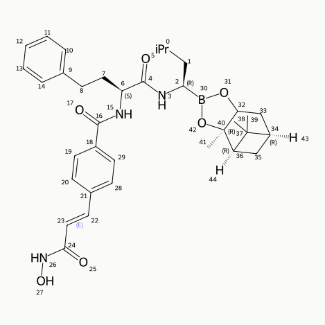 CC(C)C[C@H](NC(=O)[C@H](CCc1ccccc1)NC(=O)c1ccc(/C=C/C(=O)NO)cc1)B1OC2C[C@H]3C[C@H](C3(C)C)[C@@]2(C)O1